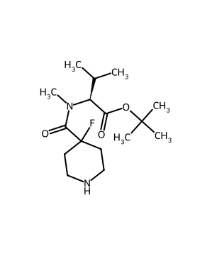 CC(C)[C@@H](C(=O)OC(C)(C)C)N(C)C(=O)C1(F)CCNCC1